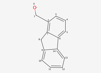 [O]Cc1cccc2c1Cc1ccccc1-2